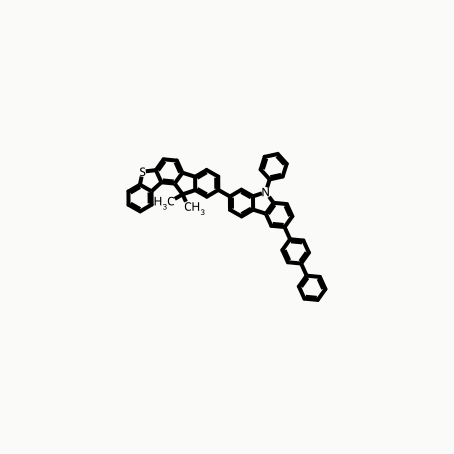 CC1(C)c2cc(-c3ccc4c5cc(-c6ccc(-c7ccccc7)cc6)ccc5n(-c5ccccc5)c4c3)ccc2-c2ccc3sc4ccccc4c3c21